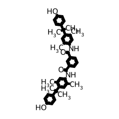 Cc1cc(C(C)(C)c2ccc(O)cc2)c(C)cc1NC(=O)c1cccc(C(=O)Nc2cc(C)c(C(C)(C)c3ccc(O)cc3)cc2C)c1